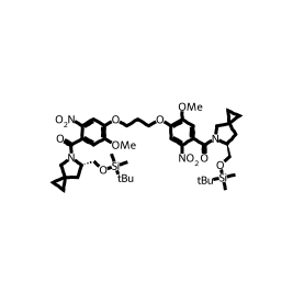 COc1cc(C(=O)N2CC3(CC3)C[C@H]2CO[Si](C)(C)C(C)(C)C)c([N+](=O)[O-])cc1OCCCOc1cc([N+](=O)[O-])c(C(=O)N2CC3(CC3)C[C@H]2CO[Si](C)(C)C(C)(C)C)cc1OC